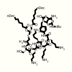 CCCCCCCCCCCCCCCC(=O)OC[C@H](CSC[C@H](N)C(=O)N[C@@H](CO)C(=O)N[C@@H](CCCCN)C(=O)N[C@@H](CCCCN)C(=O)N[C@@H](CCCCN)C(=O)N[C@@H](CCCCN)C(=O)Nc1ccc(Cn2c(O)nc3c(N)nc(NCCCC)nc32)cc1)OC(=O)CCCCCCCCCCCCCCC